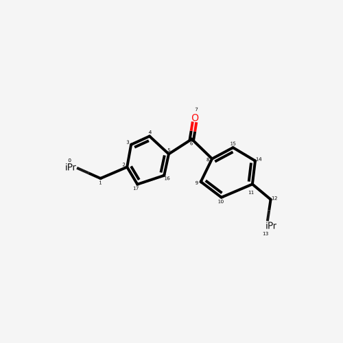 CC(C)Cc1ccc(C(=O)c2ccc(CC(C)C)cc2)cc1